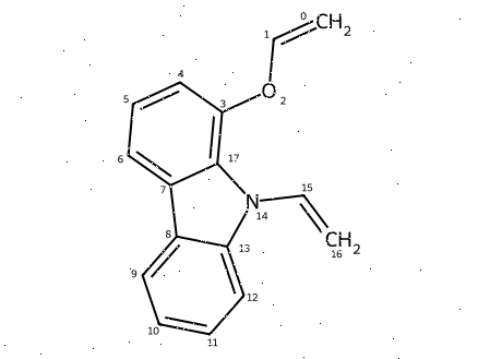 C=COc1cccc2c3ccccc3n(C=C)c12